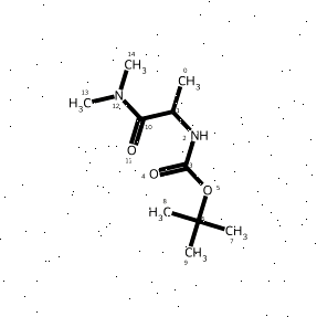 CC(NC(=O)OC(C)(C)C)C(=O)N(C)C